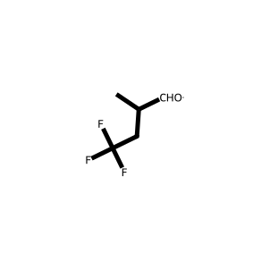 CC([C]=O)CC(F)(F)F